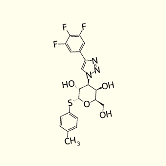 Cc1ccc(S[C@H]2O[C@H](CO)[C@H](O)[C@H](n3cc(-c4cc(F)c(F)c(F)c4)nn3)[C@H]2O)cc1